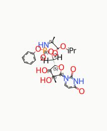 [2H]C([2H])(O[P@](=O)(N[C@@H](C)C(=O)OC(C)C)Oc1ccccc1)[C@@H]1O[C@@H](n2ccc(=O)[nH]c2=O)[C@](C)(O)[C@@H]1O